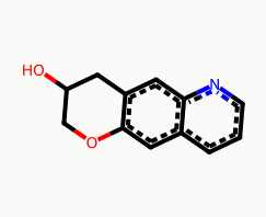 OC1COc2cc3cccnc3cc2C1